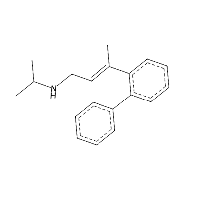 CC(=CCNC(C)C)c1ccccc1-c1ccccc1